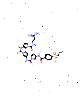 CN(CCC(=N)N)C(=O)n1ccc(N(C)C(=O)n2ccc(N(C)C(=O)n3ccc(NC(=O)c4ccc(S(=O)(=O)CCCl)cc4)c3)c2)c1